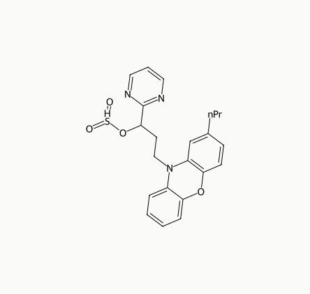 CCCc1ccc2c(c1)N(CCC(O[SH](=O)=O)c1ncccn1)c1ccccc1O2